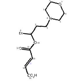 CCC(CCN1CCOCC1)OC(=O)/C=C/C(=O)O